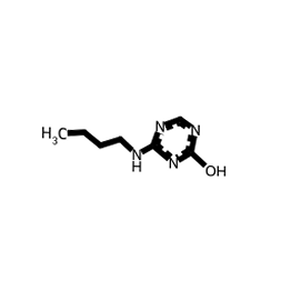 CCCCNc1ncnc(O)n1